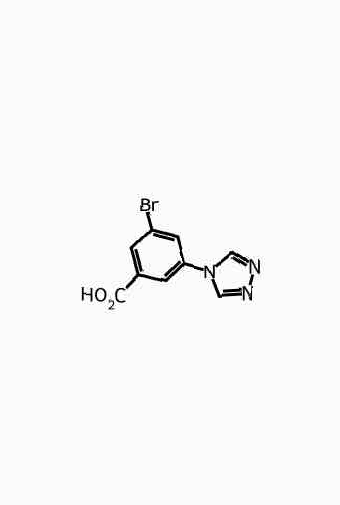 O=C(O)c1cc(Br)cc(-n2cnnc2)c1